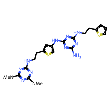 CNc1nc(NC)nc(NCCc2cc(Nc3nc(N)nc(NCCc4cccs4)n3)cs2)n1